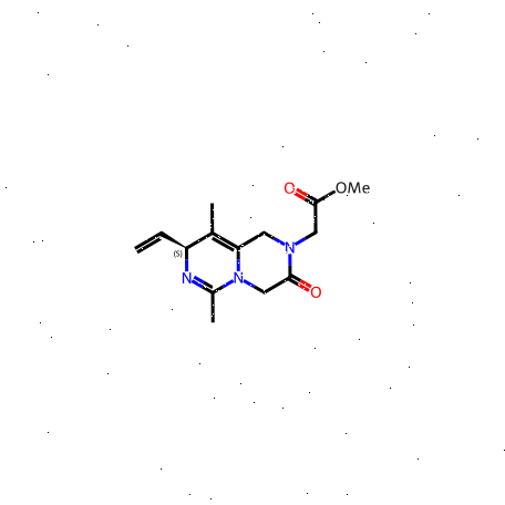 C=C[C@@H]1N=C(C)N2CC(=O)N(CC(=O)OC)CC2=C1C